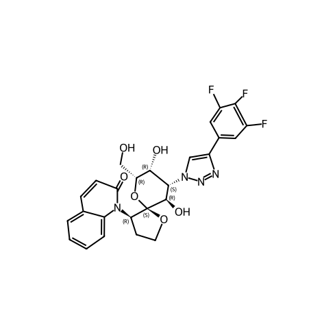 O=c1ccc2ccccc2n1[C@@H]1CCO[C@]12O[C@H](CO)[C@H](O)[C@H](n1cc(-c3cc(F)c(F)c(F)c3)nn1)[C@H]2O